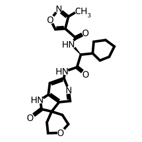 Cc1nocc1C(=O)N[C@H](C(=O)Nc1cc2c(cn1)C1(CCOCC1)C(=O)N2)C1CCCCC1